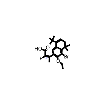 CCOc1c(/C(C)=C(/F)C(=O)O)cc2c(c1Br)C(C)(C)CC=C2C(C)(C)C